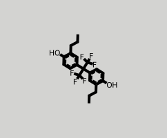 CCCc1cc(C(c2ccc(O)c(CCC)c2)(C(F)(F)F)C(F)(F)F)ccc1O